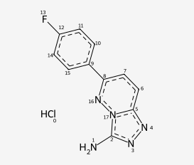 Cl.Nc1nnc2ccc(-c3ccc(F)cc3)nn12